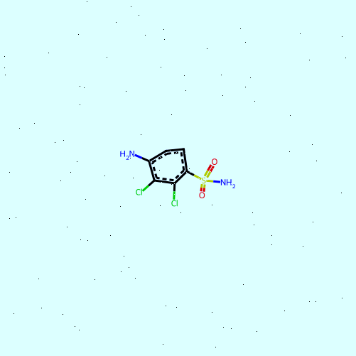 Nc1ccc(S(N)(=O)=O)c(Cl)c1Cl